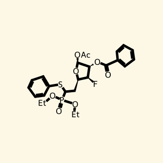 CCOP(=O)(OCC)C(C[C@H]1O[C@@H](OC(C)=O)[C@H](OC(=O)c2ccccc2)[C@H]1F)Sc1ccccc1